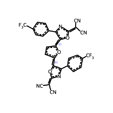 N#CC(C#N)=c1nc(-c2ccc(C(F)(F)F)cc2)/c(=c2\cc/c(=c3\oc(=C(C#N)C#N)nc3-c3ccc(C(F)(F)F)cc3)o2)o1